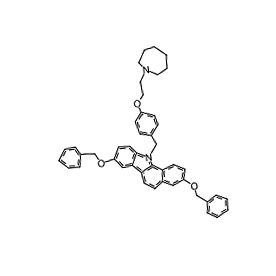 c1ccc(COc2ccc3c(ccc4c5cc(OCc6ccccc6)ccc5n(Cc5ccc(OCCN6CCCCCC6)cc5)c34)c2)cc1